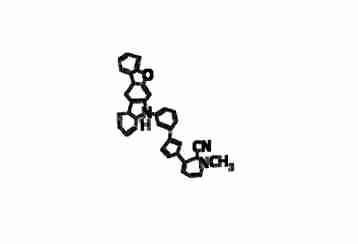 CN1C=CC=C(C2C=CC(c3cccc(N4C5=C(CC6C(=C5)Oc5ccccc56)C5C=CC=C[C@@H]54)c3)=C2)C1C#N